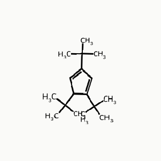 CC(C)(C)C1=CC(C(C)(C)C)C(C(C)(C)C)=C1